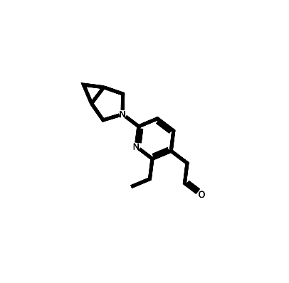 CCc1nc(N2CC3CC3C2)ccc1CC=O